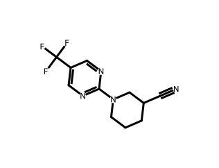 N#CC1CCCN(c2ncc(C(F)(F)F)cn2)C1